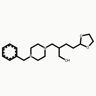 OCC(CCC1OCCO1)CN1CCN(Cc2ccccc2)CC1